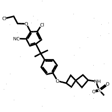 CC(C)(c1ccc(OC2CC3(CC(NS(C)(=O)=O)C3)C2)cc1)c1cc(Cl)c(OCCCl)c(C#N)c1